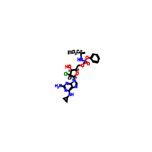 CCOC(=O)[C@@H](C)N[P@](=O)(OC[C@H]1O[C@@H](n2cnc3c(NC4CC4)nc(N)nc32)[C@@](Cl)(C(F)(F)F)[C@@H]1O)Oc1ccccc1